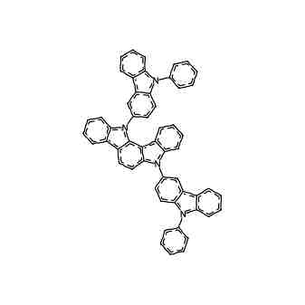 c1ccc(-n2c3ccccc3c3cc(-n4c5ccccc5c5c4ccc4c6ccccc6n(-c6ccc7c(c6)c6ccccc6n7-c6ccccc6)c45)ccc32)cc1